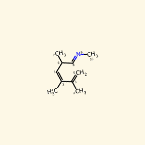 C=C(C)/C(C)=C\C(C)/C=N/C